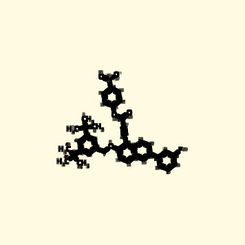 CC(C)(C)c1cc(COc2ccc3cc(-c4cccc(F)c4)ccc3c2C#CC(=O)Oc2ccc([N+](=O)[O-])cc2)cc(C(C)(C)C)c1